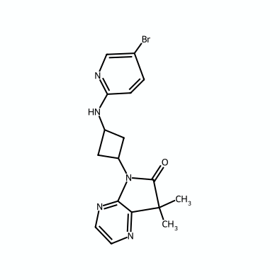 CC1(C)C(=O)N(C2CC(Nc3ccc(Br)cn3)C2)c2nccnc21